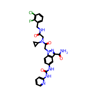 NC(=O)c1nn(CC(=O)N(CC(=O)NCc2cccc(Cl)c2F)C2CC2)c2ccc(NC(=O)Nc3ccccn3)cc12